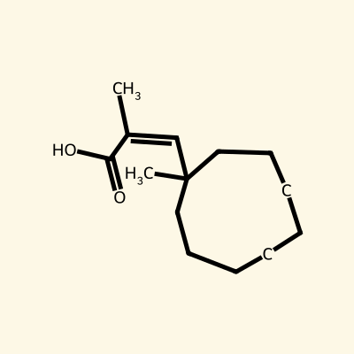 CC(=CC1(C)CCCCCCCC1)C(=O)O